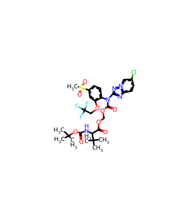 CC(C)(C)OC(=O)NC(C(=O)OCOC(=O)N(c1nc2ccc(Cl)cn2n1)c1ccc(S(C)(=O)=O)cc1OCC(F)(F)F)C(C)(C)C